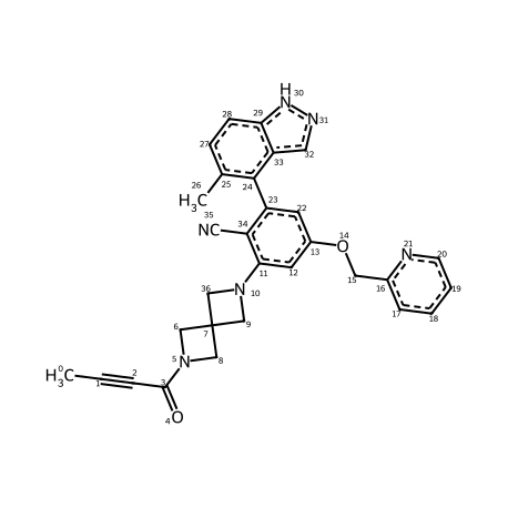 CC#CC(=O)N1CC2(C1)CN(c1cc(OCc3ccccn3)cc(-c3c(C)ccc4[nH]ncc34)c1C#N)C2